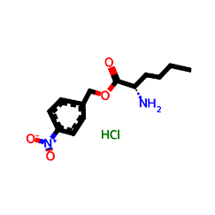 CCCC[C@H](N)C(=O)OCc1ccc([N+](=O)[O-])cc1.Cl